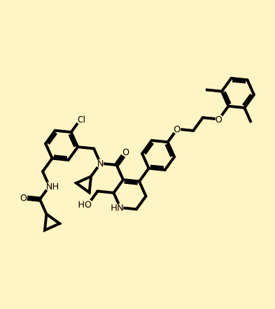 Cc1cccc(C)c1OCCOc1ccc(C2=C(C(=O)N(Cc3cc(CNC(=O)C4CC4)ccc3Cl)C3CC3)C(CO)NCC2)cc1